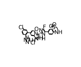 O=c1cc(-c2cc(Cl)ccc2-n2cc(Cl)nn2)cc2n1[C@H](c1nc(F)c(-c3ccc4c(c3)S(=O)(=O)CCN4)[nH]1)[C@H]1C[C@@H]21